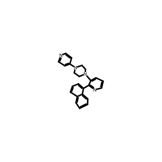 c1cnc(-c2cccc3ccccc23)c(N2CCN(c3ccncc3)CC2)c1